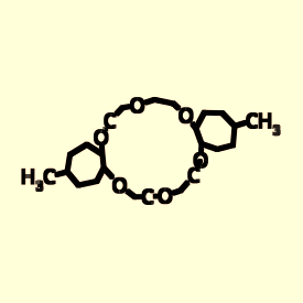 CC1CCC2OCCOCCOC3CCC(C)CCC3OCCOCCOC2CC1